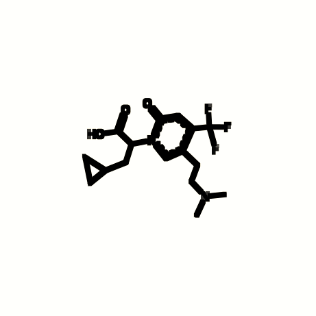 CN(C)CCc1cn(C(CC2CC2)C(=O)O)c(=O)cc1C(F)(F)F